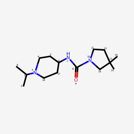 CC(C)N1CCC(NC(=O)N2CCC(C)(C)C2)CC1